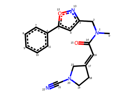 CN(Cc1cc(-c2ccccc2)on1)C(=O)/C=C1/CCN(C#N)C1